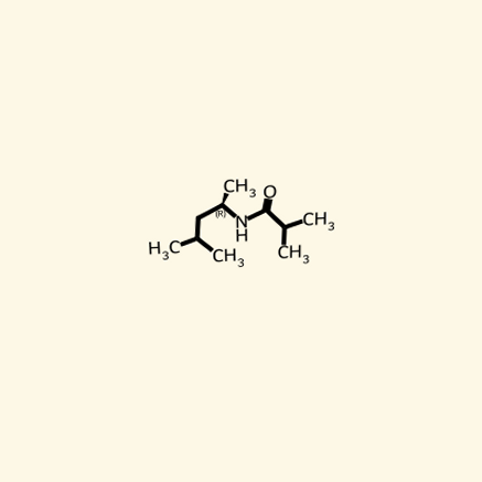 CC(C)C[C@@H](C)NC(=O)C(C)C